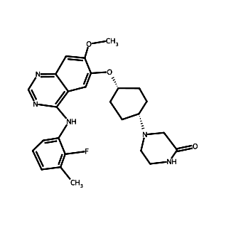 COc1cc2ncnc(Nc3cccc(C)c3F)c2cc1O[C@H]1CC[C@@H](N2CCNC(=O)C2)CC1